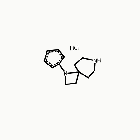 Cl.c1ccc(N2CCC23CCNCC3)cc1